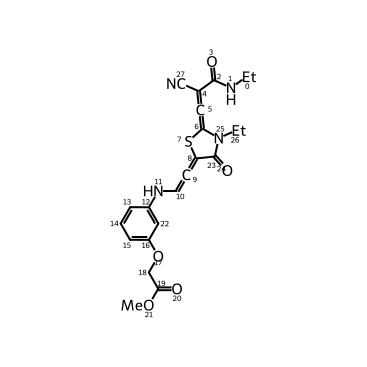 CCNC(=O)C(=C=c1sc(=C=CNc2cccc(OCC(=O)OC)c2)c(=O)n1CC)C#N